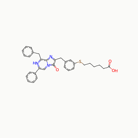 O=C(O)CCCCCSc1cccc(Cc2nc3c(Cc4ccccc4)[nH]c(-c4ccccc4)cn-3c2=O)c1